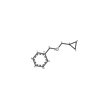 [CH](OCC1CC1)c1ccccc1